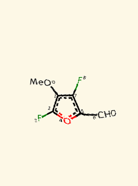 COc1c(F)oc(C=O)c1F